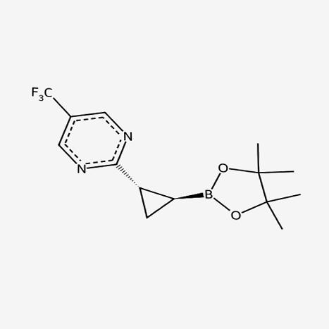 CC1(C)OB([C@H]2C[C@@H]2c2ncc(C(F)(F)F)cn2)OC1(C)C